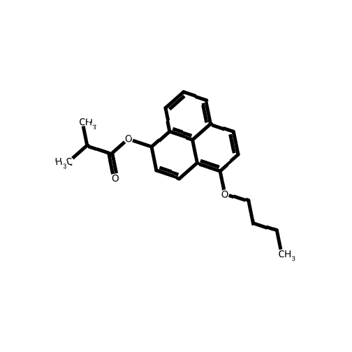 CCCCOc1ccc2cccc3c2c1C=CC3OC(=O)C(C)C